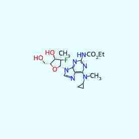 CCOC(=O)Nc1nc(N(C)C2CC2)c2ncn([C@@H]3O[C@H](CO)[C@@H](O)[C@@]3(C)F)c2n1